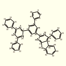 c1ccc(-c2cc(-c3nc(-c4ccccc4)nc(-c4ccccc4)n3)cc(-c3nc(-c4ccccc4)c4c(n3)sc3ccccc34)c2)cc1